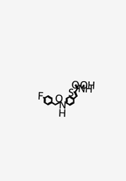 O=C(Cc1ccc(F)cc1)Nc1ccc2cc(C(=O)NO)sc2c1